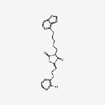 O=C1SC(=CCCc2ccccc2Cl)C(=O)N1CCCCSc1cccc2nccn12